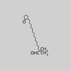 CC(C)(C=O)CCCCCCCCCCCCCCC1CCCC1=O